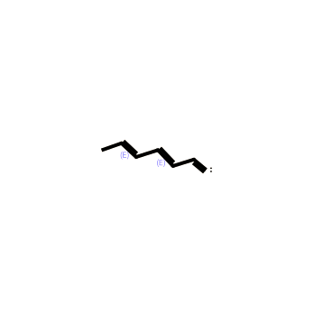 [C]=C/C=C/C=C/C